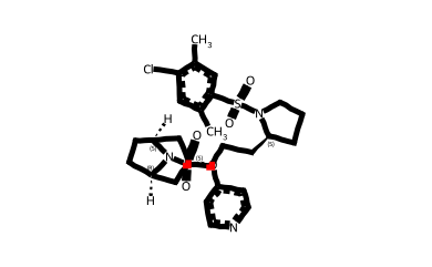 Cc1cc(S(=O)(=O)N2CCC[C@H]2CCCS(=O)(=O)N2[C@@H]3CC[C@H]2C[C@H](Oc2ccncc2)C3)c(C)cc1Cl